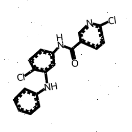 O=C(Nc1ccc(Cl)c(Nc2ccccc2)c1)c1ccc(Cl)nc1